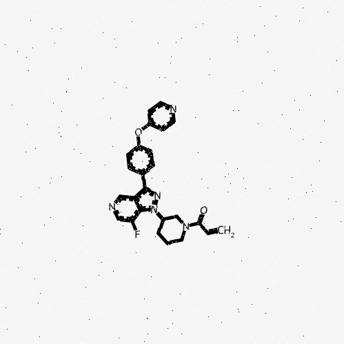 C=CC(=O)N1CCCC(n2nc(-c3ccc(Oc4ccncc4)cc3)c3cncc(F)c32)C1